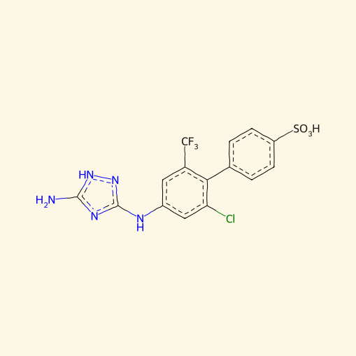 Nc1nc(Nc2cc(Cl)c(-c3ccc(S(=O)(=O)O)cc3)c(C(F)(F)F)c2)n[nH]1